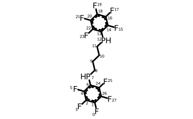 Fc1c(F)c(F)c(PCCCCPc2c(F)c(F)c(F)c(F)c2F)c(F)c1F